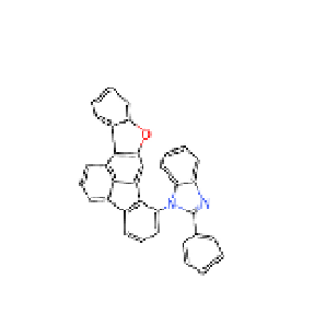 c1ccc(-c2nc3ccccc3n2-c2cccc3c2-c2cc4oc5ccccc5c4c4cccc-3c24)cc1